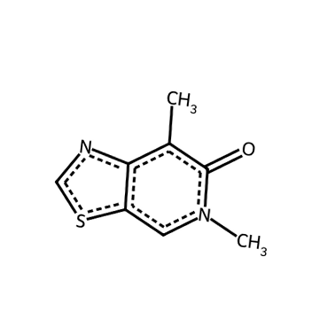 Cc1c(=O)n(C)cc2scnc12